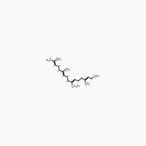 CCOC(=O)/C(=C\CC/C(C)=C/COC(C)=O)CC/C=C(\C)CCC=C(C)C